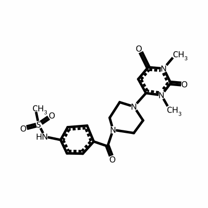 Cn1c(N2CCN(C(=O)c3ccc(NS(C)(=O)=O)cc3)CC2)cc(=O)n(C)c1=O